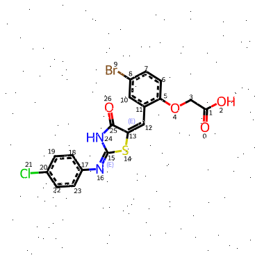 O=C(O)COc1ccc(Br)cc1/C=C1/S/C(=N/c2ccc(Cl)cc2)NC1=O